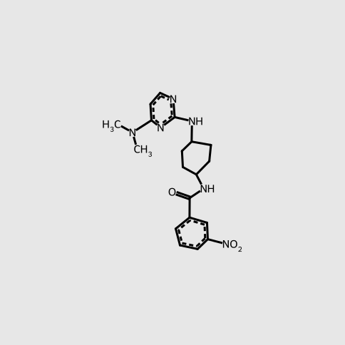 CN(C)c1ccnc(NC2CCC(NC(=O)c3cccc([N+](=O)[O-])c3)CC2)n1